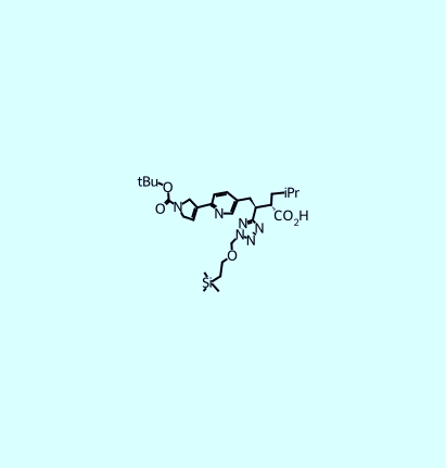 CC(C)C[C@H](C(=O)O)[C@H](Cc1ccc(C2=CCN(C(=O)OC(C)(C)C)C2)nc1)c1nnn(COCC[Si](C)(C)C)n1